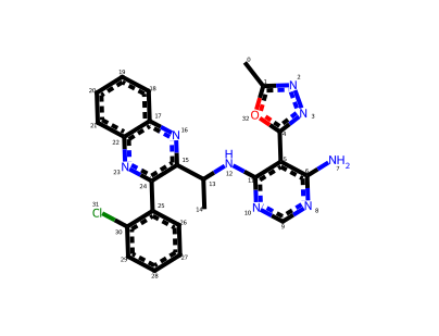 Cc1nnc(-c2c(N)ncnc2NC(C)c2nc3ccccc3nc2-c2ccccc2Cl)o1